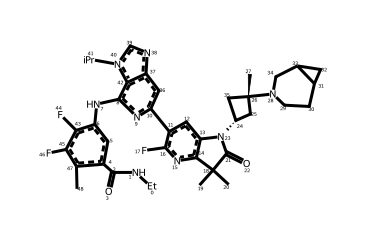 CCNC(=O)c1cc(Nc2nc(-c3cc4c(nc3F)C(C)(C)C(=O)N4[C@H]3C[C@@](C)(N4CCC5CC5C4)C3)cc3ncn(C(C)C)c23)c(F)c(F)c1C